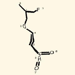 CC(F)OC=C[SH](=O)=O